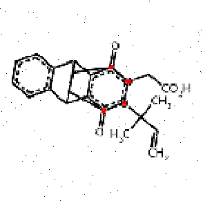 C=CC(C)(C)OC(=O)C1C2c3ccccc3C(c3ccccc32)C1C(=O)OCC(=O)O